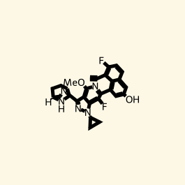 C#Cc1c(F)ccc2cc(O)cc(-c3nc(OC)c4c(N5C[C@@H]6CCC5CN6)nn(C5CC5)c4c3F)c12